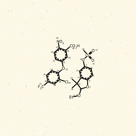 CCOC1Oc2ccc(OS(C)(=O)=O)cc2C1(C)C.O=C(O)c1cc(Oc2ccc(C(F)(F)F)cc2Cl)ccc1[N+](=O)[O-]